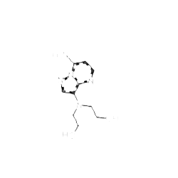 Nc1ccnc2c(N(CCO)CCO)cnn12